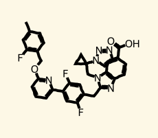 Cc1ccc(COc2cccc(-c3cc(F)c(Cc4nc5ccc(C(=O)O)cc5n4CC4(n5ccnn5)CC4)cc3F)n2)c(F)c1